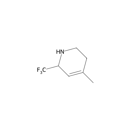 CC1=CC(C(F)(F)F)NCC1